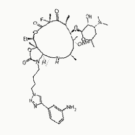 CC[C@H]1OC(=O)[C@](C)(F)C(=O)[C@@H](C)[C@@H](O[C@@H]2OC(C)CC(N(C)C)C2O)[C@](C)(OC)C[C@@H](C)CN[C@H](C)[C@H]2N(CCCCn3cc(-c4cccc(N)c4)nn3)C(=O)O[C@]12C